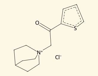 O=C(C[N+]12CCC(CC1)CC2)c1cccs1.[Cl-]